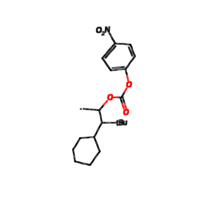 [CH2]C(OC(=O)Oc1ccc([N+](=O)[O-])cc1)C(C1CCCCC1)C(C)(C)C